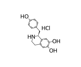 Cl.Oc1ccc(C[C@@H]2NCCc3cc(O)c(O)cc32)cc1